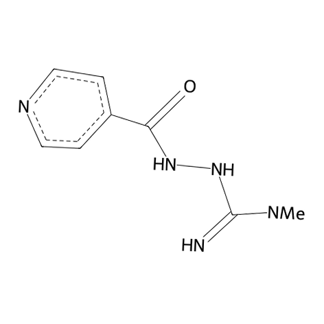 CNC(=N)NNC(=O)c1ccncc1